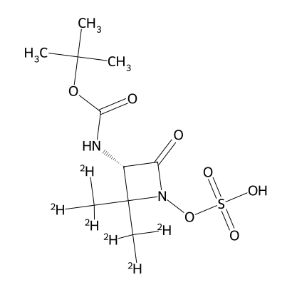 [2H]C([2H])([2H])C1(C([2H])([2H])[2H])[C@H](NC(=O)OC(C)(C)C)C(=O)N1OS(=O)(=O)O